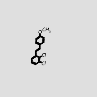 COc1ccc(/C=C/c2cccc(Cl)c2Cl)cc1